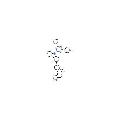 Cc1ccc(-c2nc(-c3ccccc3)nc(-n3c4ccccc4c4cc(-c5ccc6c(c5)C(C)(C)c5ccc7ncsc7c5-6)ccc43)n2)cc1